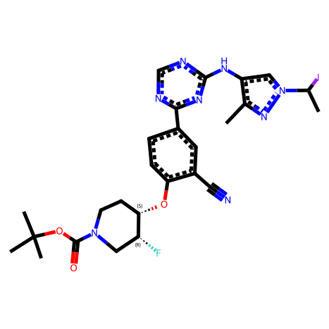 Cc1nn(C(C)I)cc1Nc1ncnc(-c2ccc(O[C@H]3CCN(C(=O)OC(C)(C)C)C[C@H]3F)c(C#N)c2)n1